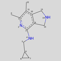 Cc1nc(NCC2CC2)c2c(c1C)CNC2